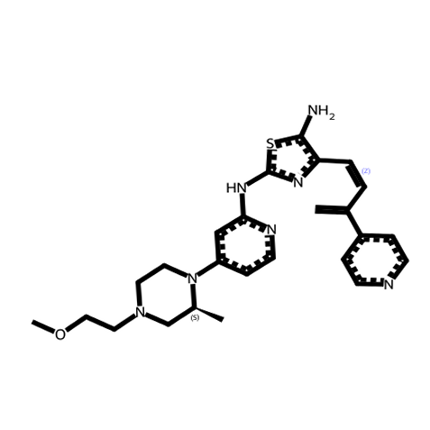 C=C(/C=C\c1nc(Nc2cc(N3CCN(CCOC)C[C@@H]3C)ccn2)sc1N)c1ccncc1